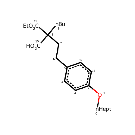 CCCCCCCOc1ccc(CCC(CCCC)(C(=O)O)C(=O)OCC)cc1